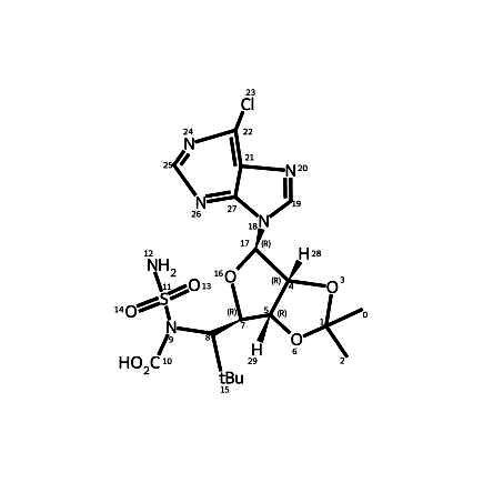 CC1(C)O[C@@H]2[C@H](O1)[C@@H](C(N(C(=O)O)S(N)(=O)=O)C(C)(C)C)O[C@H]2n1cnc2c(Cl)ncnc21